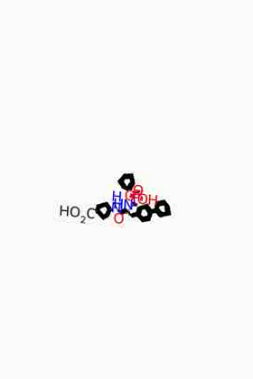 O=C(O)C1CCC(NC(=O)[C@H](Cc2ccc(-c3ccccc3)cc2)NCP(=O)(O)Oc2ccccc2)CC1